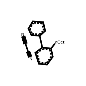 CCCCCCCCc1ccccc1-c1ccccc1.N#CC#N